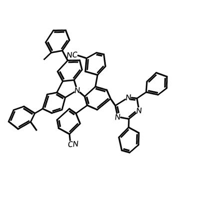 Cc1ccccc1-c1ccc2c(c1)c1cc(-c3ccccc3C)ccc1n2-c1c(-c2cccc(C#N)c2)cc(-c2nc(-c3ccccc3)nc(-c3ccccc3)n2)cc1-c1cccc(C#N)c1